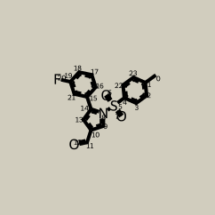 Cc1ccc(S(=O)(=O)n2cc(C=O)cc2-c2cccc(F)c2)cc1